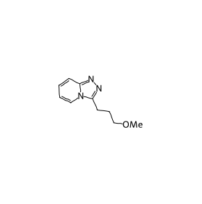 COCCCc1nnc2ccccn12